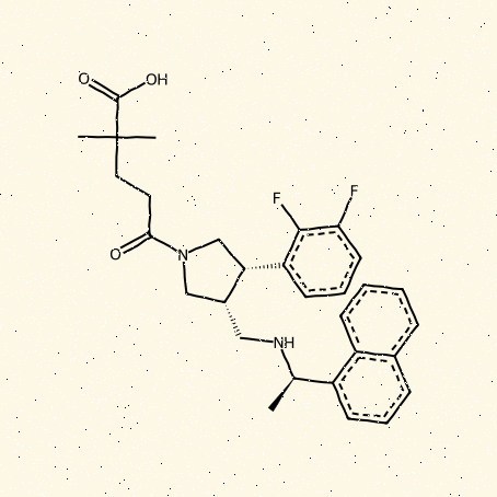 C[C@@H](NC[C@@H]1CN(C(=O)CCC(C)(C)C(=O)O)C[C@@H]1c1cccc(F)c1F)c1cccc2ccccc12